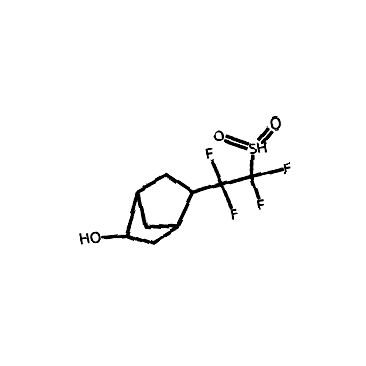 O=[SH](=O)C(F)(F)C(F)(F)C1CC2CC1CC2O